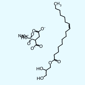 CCCCCC/C=C\CCCCCCCC(=O)OCC(O)CO.O=C([O-])CC(C(=O)[O-])S(=O)(=O)O.[Na+].[Na+]